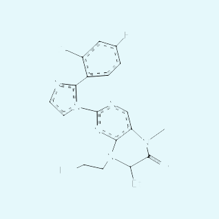 CCC1C(=O)N(C)c2cnc(-n3ccnc3-c3ccc(F)cc3Cl)nc2N1CCC(F)(F)F